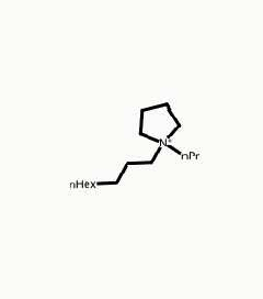 CCCCCCCCC[N+]1(CCC)CCCC1